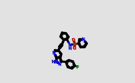 O=S(=O)(Nc1ccccc1C#Cc1cnc2[nH]nc(-c3ccc(F)cc3)c2c1)c1cccnc1